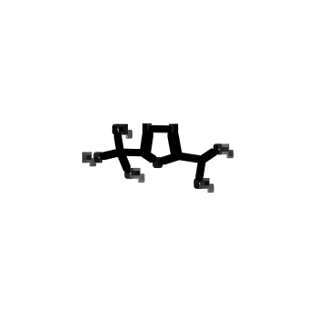 CC(C)c1nnc(C(C)(C)C)o1